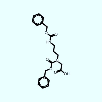 O=C(O)CN(CCCNC(=O)OCc1ccccc1)C(=O)OCc1ccccc1